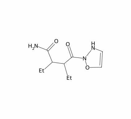 CCC(C(N)=O)C(CC)C(=O)N1NC=CO1